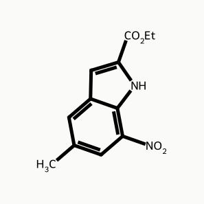 CCOC(=O)c1cc2cc(C)cc([N+](=O)[O-])c2[nH]1